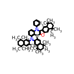 Cc1cc2c(cc1N1c3cc4c(cc3B3c5oc6cc7c(cc6c5N(c5ccccc5)c5cccc1c53)C(C)(C)CCC7(C)C)C(C)(C)CCC4(C)C)C(C)(C)CCC2(C)C